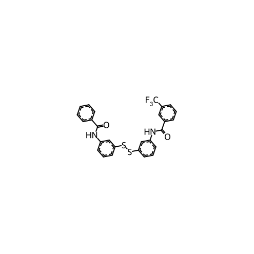 O=C(Nc1cccc(SSc2cccc(NC(=O)c3cccc(C(F)(F)F)c3)c2)c1)c1ccccc1